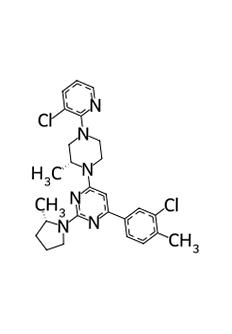 Cc1ccc(-c2cc(N3CCN(c4ncccc4Cl)C[C@H]3C)nc(N3CCC[C@@H]3C)n2)cc1Cl